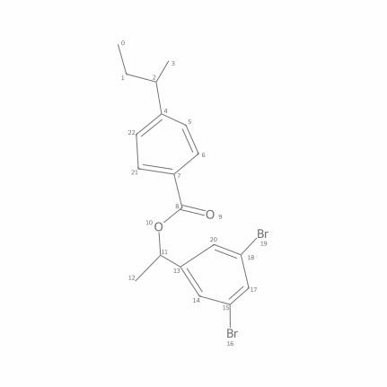 CCC(C)c1ccc(C(=O)OC(C)c2cc(Br)cc(Br)c2)cc1